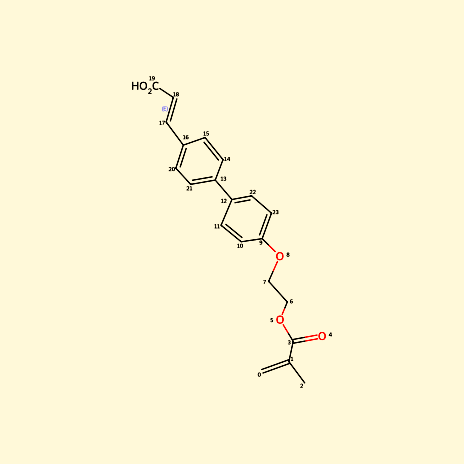 C=C(C)C(=O)OCCOc1ccc(-c2ccc(/C=C/C(=O)O)cc2)cc1